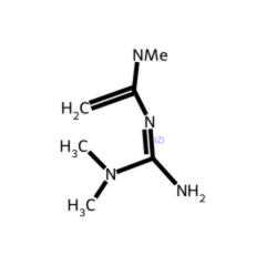 C=C(/N=C(/N)N(C)C)NC